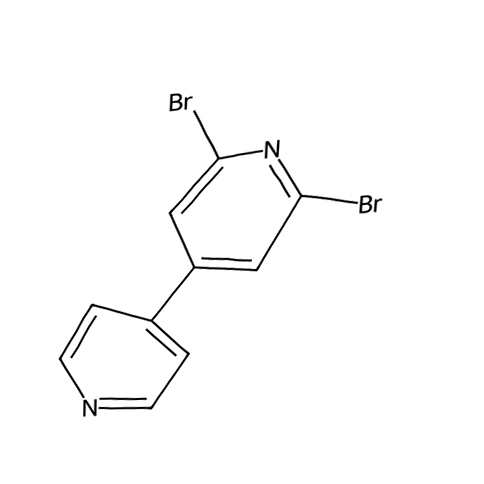 Brc1cc(-c2ccncc2)cc(Br)n1